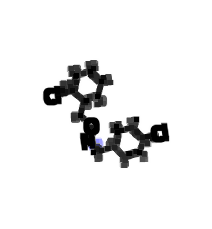 Clc1ccc(/[C]=N\OCc2ccccc2Cl)cc1